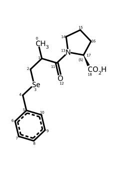 CC(C[Se]Cc1ccccc1)C(=O)N1CCC[C@H]1C(=O)O